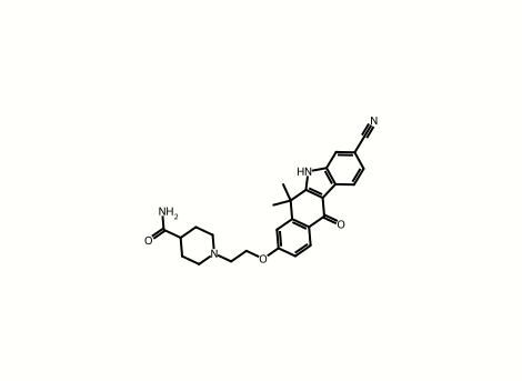 CC1(C)c2cc(OCCN3CCC(C(N)=O)CC3)ccc2C(=O)c2c1[nH]c1cc(C#N)ccc21